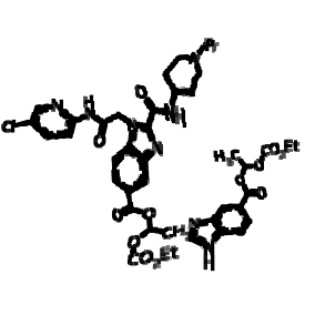 CCOC(=O)OC(C)OC(=O)c1ccc2[nH]cnc2c1.CCOC(=O)OC(C)OC(=O)c1ccc2c(c1)nc(C(=O)NC1CCN(C(C)C)CC1)n2CC(=O)Nc1ccc(Cl)cn1